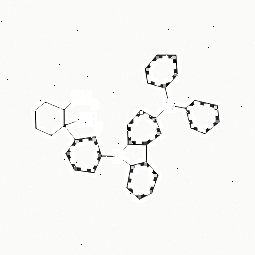 CC1CCCCC1(C)c1cccc(B2c3ccccc3-c3cc(N(c4ccccc4)c4ccccc4)ccc32)c1